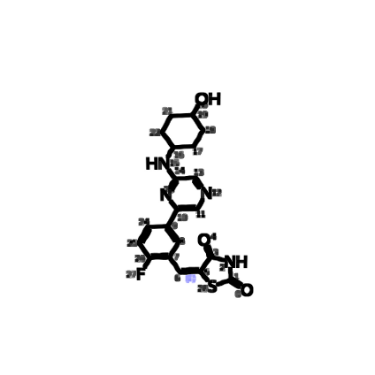 O=C1NC(=O)/C(=C\c2cc(-c3cncc(NC4CCC(O)CC4)n3)ccc2F)S1